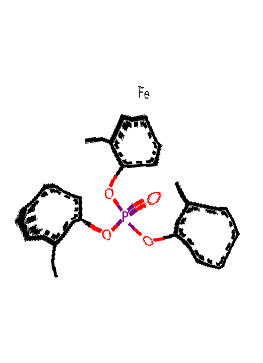 Cc1ccccc1OP(=O)(Oc1ccccc1C)Oc1ccccc1C.[Fe]